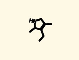 CCC1=C(C)CNC1C